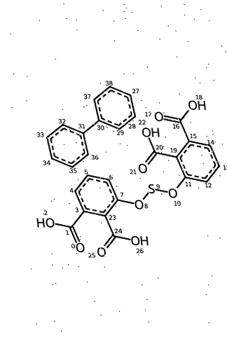 O=C(O)c1cccc(OSOc2cccc(C(=O)O)c2C(=O)O)c1C(=O)O.c1ccc(-c2ccccc2)cc1